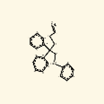 C=CCCC(CNc1ccccc1)(c1ccccc1)c1ccccc1